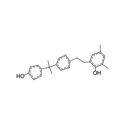 Cc1cc(C)c(O)c(CCc2ccc(C(C)(C)c3ccc(O)cc3)cc2)c1